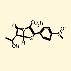 CC(O)[C@H]1C(=O)N2C(C(=O)O)=C(c3ccc([S+](C)[O-])cc3)S[C@H]12